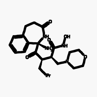 CC(C)C[C@@H](C(=O)[C@@]1(N)NC(=O)CCc2ccccc21)[C@H](CN1CCOCC1)C(=O)NO